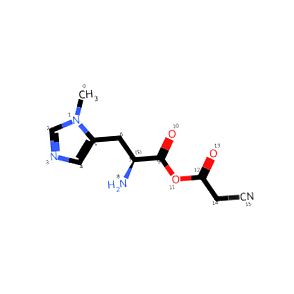 Cn1cncc1C[C@H](N)C(=O)OC(=O)CC#N